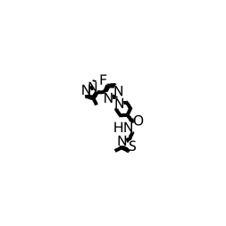 Cc1csc(CNC(=O)C2CCN(c3ncc(F)c(-c4c(C)cnn4C)n3)CC2)n1